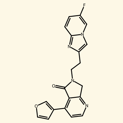 O=C1c2c(-c3ccoc3)ccnc2CN1CCc1cn2cc(F)ccc2n1